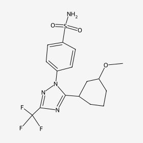 COC1CCCC(c2nc(C(F)(F)F)nn2-c2ccc(S(N)(=O)=O)cc2)C1